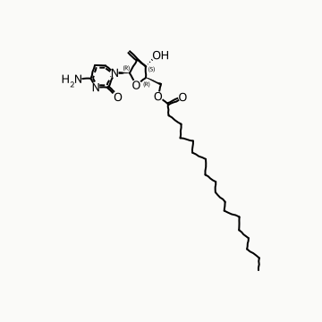 C=C1[C@H](n2ccc(N)nc2=O)O[C@H](COC(=O)CCCCCCCCCCCCCCCCC)[C@H]1O